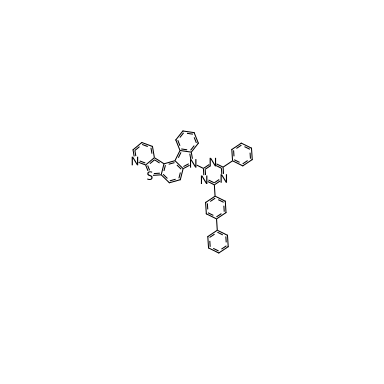 c1ccc(-c2ccc(-c3nc(-c4ccccc4)nc(-n4c5ccccc5c5c6c(ccc54)sc4ncccc46)n3)cc2)cc1